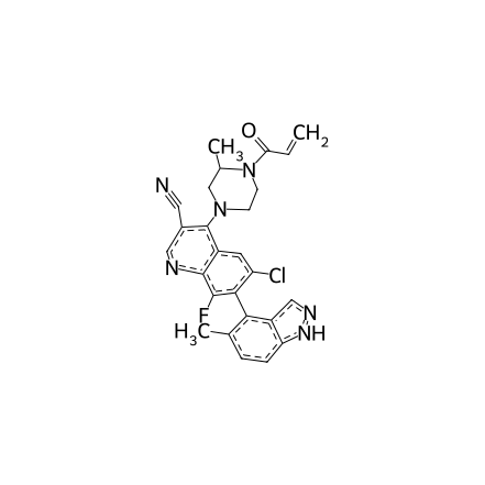 C=CC(=O)N1CCN(c2c(C#N)cnc3c(F)c(-c4c(C)ccc5[nH]ncc45)c(Cl)cc23)CC1C